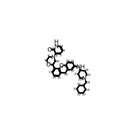 O=c1[nH]cccc1N1CCOC(c2cccc3c2Oc2ccc(NC4CCN(CC5CCCCC5)CC4)cc2C3)C1